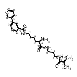 C=C(C)C(=O)NCCCNC(=O)C(N)CCCCNC(=O)c1cncc(-c2cccnc2)c1